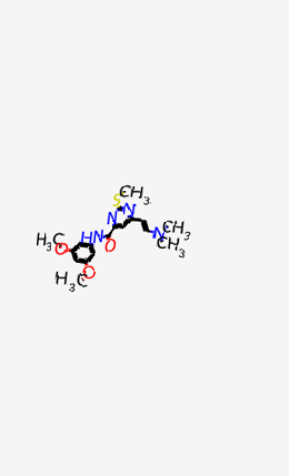 COc1cc(NC(=O)c2cc(C=CN(C)C)nc(SC)n2)cc(OC)c1